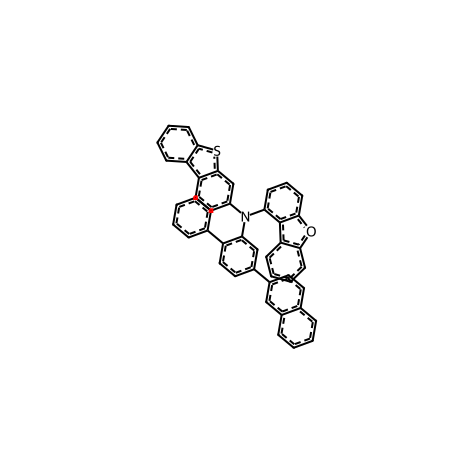 c1ccc(-c2ccc(-c3ccc4ccccc4c3)cc2N(c2ccc3c(c2)sc2ccccc23)c2cccc3oc4ccccc4c23)cc1